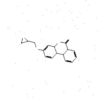 O=C1OC2C=C(OCC3CO3)C=CC2C2C=CC=CC12